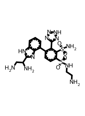 NCCNS(=O)(=O)c1ccc(-c2cccc3[nH]c(C(N)CN)nc23)c(-c2nn[nH]n2)c1S(N)(=O)=O